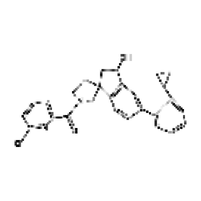 O=C(c1cccc(Cl)n1)N1CCC2(CC(O)c3cc(-c4ccccc4C4CC4)ccc32)C1